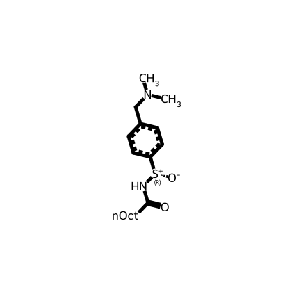 CCCCCCCCC(=O)N[S@@+]([O-])c1ccc(CN(C)C)cc1